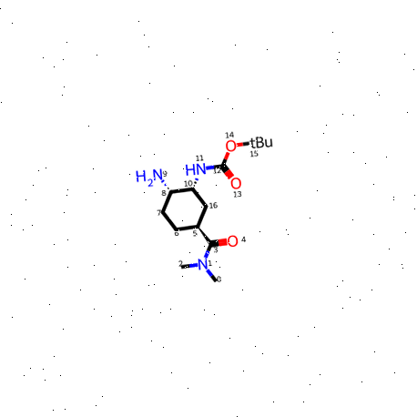 CN(C)C(=O)[C@H]1CC[C@H](N)[C@H](NC(=O)OC(C)(C)C)C1